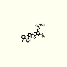 CNC(=O)OCc1nc(N(C)C(C)C)cc2c1CN(c1cccc(-c3nncn3-c3ccccc3F)n1)C2=O